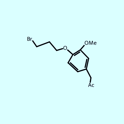 COc1cc(CC(C)=O)ccc1OCCCBr